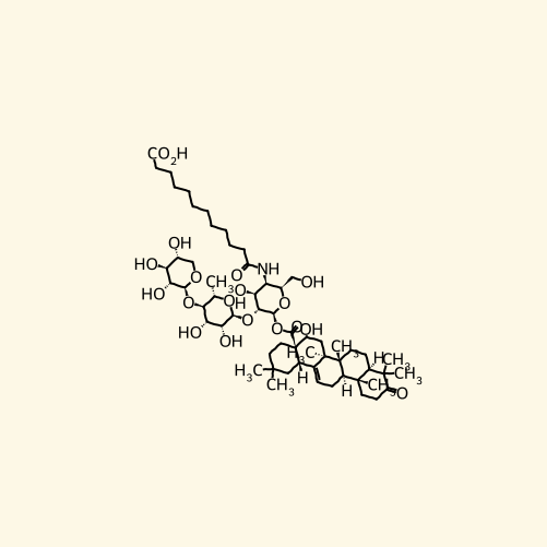 C[C@@H]1O[C@@H](O[C@H]2[C@H](OC(=O)[C@]34CCC(C)(C)C[C@H]3C3=CC[C@@H]5[C@@]6(C)CCC(=O)C(C)(C)[C@@H]6CC[C@@]5(C)[C@]3(C)C[C@H]4O)O[C@H](CO)[C@H](NC(=O)CCCCCCCCCCC(=O)O)[C@@H]2O)[C@H](O)[C@H](O)[C@H]1O[C@@H]1OC[C@@H](O)[C@H](O)[C@H]1O